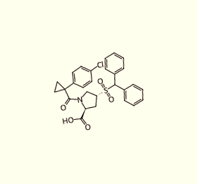 O=C(O)[C@@H]1C[C@@H](S(=O)(=O)C(c2ccccc2)c2ccccc2)CN1C(=O)C1(c2ccc(Cl)cc2)CC1